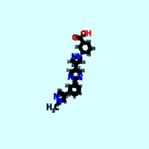 Cn1cc(-c2cccc(-c3ncc(-c4cnn(C5CCCC(C(=O)O)C5)c4)cn3)c2)cn1